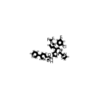 O=S(=O)(N[C@H]1CC2=C(c3ccn(C(F)F)n3)[C@H](c3ccc(F)cc3Cl)N=C(c3nccs3)N2C1)c1ccc(-c2cccnc2)cn1